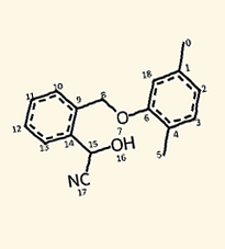 Cc1ccc(C)c(OCc2ccccc2C(O)C#N)c1